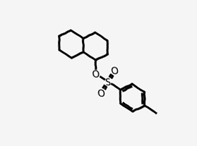 Cc1ccc(S(=O)(=O)OC2CCCC3CCCCC32)cc1